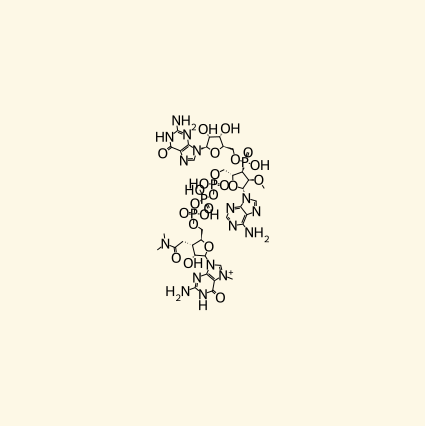 CO[C@@H]1[C@H](P(=O)(O)OC[C@H]2O[C@@H](n3cnc4c(=O)[nH]c(N)nc43)[C@H](O)[C@@H]2O)[C@@H](COP(=O)(O)OP(=O)(O)OP(=O)(O)OC[C@H]2OC(n3c[n+](C)c4c(=O)[nH]c(N)nc43)[C@H](O)[C@@H]2CC(=O)N(C)C)O[C@H]1n1cnc2c(N)ncnc21